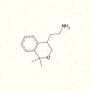 CC1(C)OCC(CCN)c2ccccc21